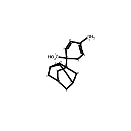 NC1=CCC(C(=O)O)(C23CC4CC(CC(C4)C2)C3)C=C1